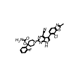 Cc1nc2ccc(-c3c[nH]c4nc(N5CCC(OC(N)=O)(c6ccccc6F)CC5)nc(C#N)c34)c(Cl)c2s1